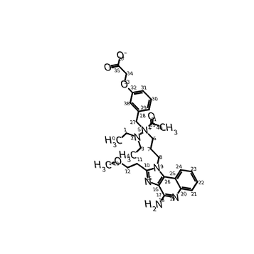 CCN(CC)[N+](CCCn1c(CCOC)nc2c(N)nc3ccccc3c21)(Cc1cccc(OCC(=O)[O-])c1)C(C)=O